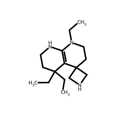 CCN1CCC2(CNC2)C2=C1NCCC2(CC)CC